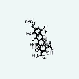 CCCOCc1cc(N(C)C)c2c(c1O)C(=O)C1=C(O)[C@]3(O)C(=O)C(C(N)=O)=C(O)[C@@H](N(C)C)[C@@H]3C[C@@H]1C2